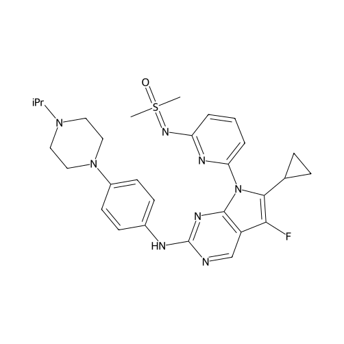 CC(C)N1CCN(c2ccc(Nc3ncc4c(F)c(C5CC5)n(-c5cccc(N=S(C)(C)=O)n5)c4n3)cc2)CC1